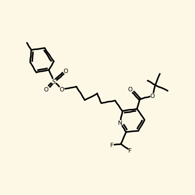 Cc1ccc(S(=O)(=O)OCCCCCc2nc(C(F)F)ccc2C(=O)OC(C)(C)C)cc1